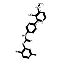 Cc1ccc(F)c(NC(=O)Nc2ccc(-c3nccc(NN)c3C#N)cc2)c1